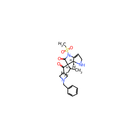 CC(C)[C@@]1(C(=O)C2CN(Cc3ccccc3)C2)C(=O)N(S(C)(=O)=O)C2=CCN[C@@H]21